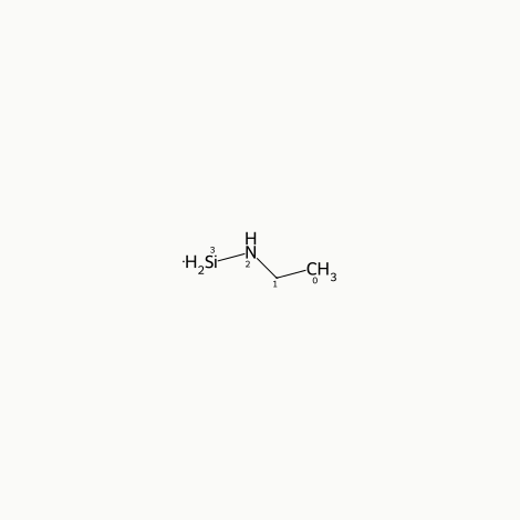 CCN[SiH2]